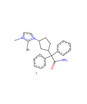 CC(C)c1n(C2CCC(C(C(N)=O)(c3ccccc3)c3ccccc3)C2)cc[n+]1C.[I-]